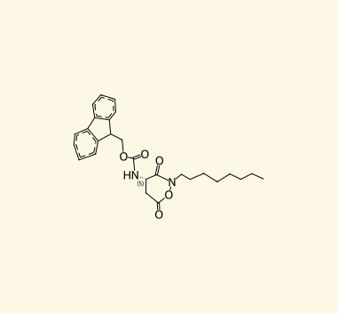 CCCCCCCCN1OC(=O)C[C@H](NC(=O)OCC2c3ccccc3-c3ccccc32)C1=O